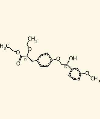 CCOC(=O)[C@H](Cc1ccc(OC[C@@H](O)c2cccc(OC)c2)cc1)OCC